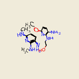 CNc1ccc(N)c(NC)n1.COc1ccc(N)c(NCCO)n1